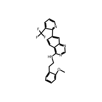 COc1ccccc1CCNc1ncnc2cc(-c3ncccc3C(F)(F)F)ccc12